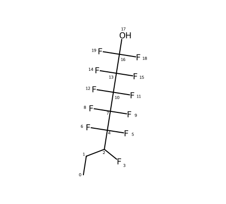 CCC(F)C(F)(F)C(F)(F)C(F)(F)C(F)(F)C(O)(F)F